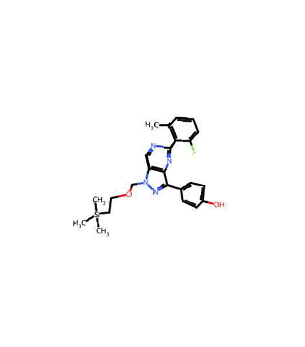 Cc1cccc(F)c1-c1ncc2c(n1)c(-c1ccc(O)cc1)nn2COCC[Si](C)(C)C